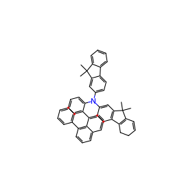 CC1(C)C2=C(CCC=C2)c2ccc(N(c3ccc4c(c3)C(C)(C)c3ccccc3-4)c3ccccc3-c3cccc4cccc(-c5ccccc5)c34)cc21